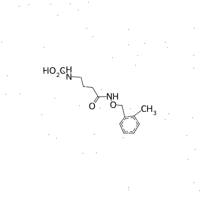 Cc1ccccc1CONC(=O)CCCNC(=O)O